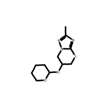 Cc1nc2n(n1)CC(OC1CCCCO1)CS2